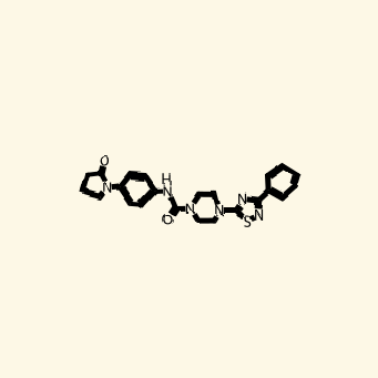 O=C(Nc1ccc(N2CCCC2=O)cc1)N1CCN(c2nc(-c3ccccc3)ns2)CC1